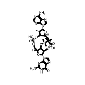 CC(C)(C)[Si](C)(C)OC1[C@H]2COP(=O)(O)OC3[C@@H](COP(=O)(O)O[C@@H]1[C@H](n1cnc4c(=O)[nH]c(N)nc41)O2)O[C@@H](n1cnc2c(N)ncnc21)[C@H]3F